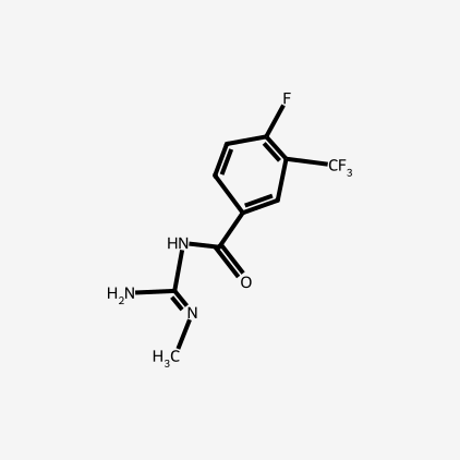 CN=C(N)NC(=O)c1ccc(F)c(C(F)(F)F)c1